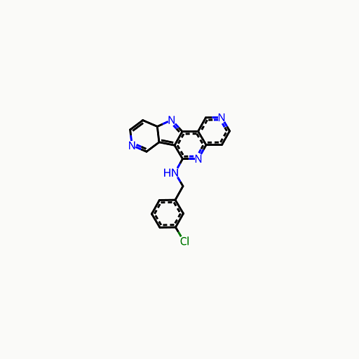 Clc1cccc(CNc2nc3ccncc3c3c2=C2C=NC=CC2N=3)c1